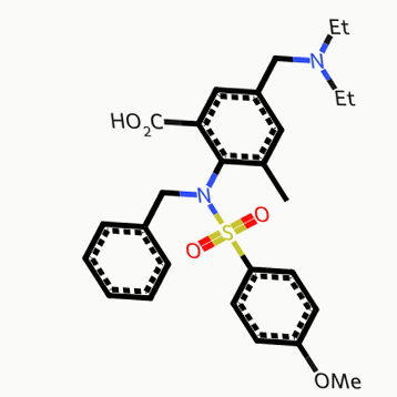 CCN(CC)Cc1cc(C)c(N(Cc2ccccc2)S(=O)(=O)c2ccc(OC)cc2)c(C(=O)O)c1